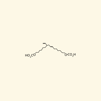 C=CC(CC=CCCCCCCOC(=O)O)CCCCCCOC(=O)O